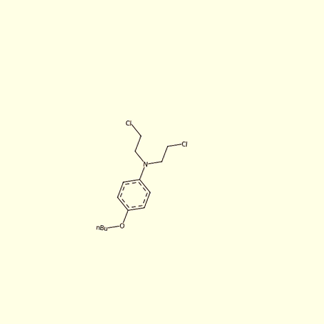 CCCCOc1ccc(N(CCCl)CCCl)cc1